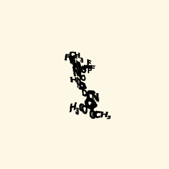 COc1cc2nccc(Oc3ccc(NC(=O)c4nn(CC(C)(F)F)cc4OCC(F)(F)F)nc3)c2cc1OC